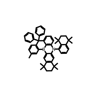 Cc1ccc2c(c1)B1c3cc4c(cc3N(c3cccc5c3C(C)(C)CCC5(C)C)c3cccc(c31)C2(c1ccccc1)c1ccccc1)C(C)(C)CCC4(C)C